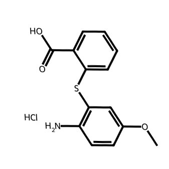 COc1ccc(N)c(Sc2ccccc2C(=O)O)c1.Cl